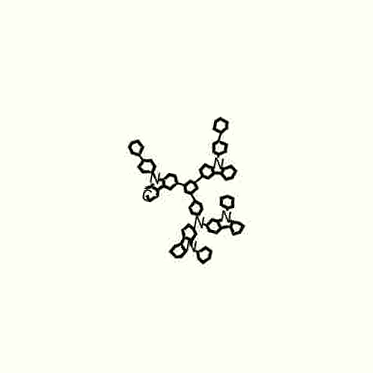 c1ccc(-c2ccc(-n3c4ccccc4c4cc(-c5cc(-c6ccc(N(c7ccc8c9ccccc9n(-c9ccccc9)c8c7)c7ccc8c9ccccc9n(-c9ccccc9)c8c7)cc6)cc(-c6ccc7c(c6)c6ccccc6n7-c6ccc(-c7ccccc7)cc6)c5)ccc43)cc2)cc1